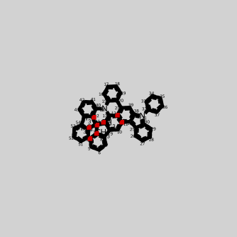 CC1(C)c2ccccc2-c2cccc(N(c3ccccc3-c3ccc4c5ccccc5n(-c5ccccc5)c4c3)c3cccc4c3C(C)(C)c3ccccc3-4)c21